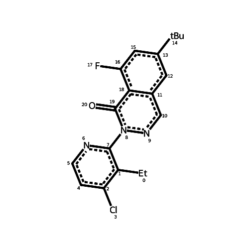 CCc1c(Cl)ccnc1-n1ncc2cc(C(C)(C)C)cc(F)c2c1=O